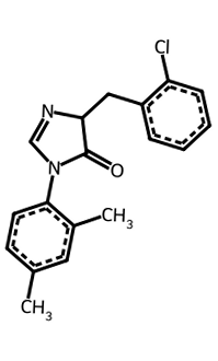 Cc1ccc(N2C=NC(Cc3ccccc3Cl)C2=O)c(C)c1